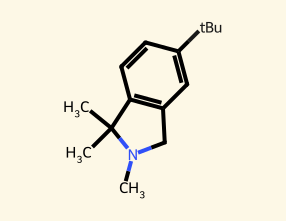 CN1Cc2cc(C(C)(C)C)ccc2C1(C)C